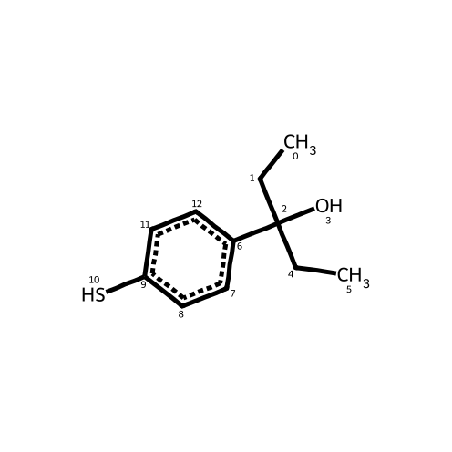 CCC(O)(CC)c1ccc(S)cc1